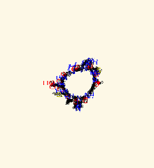 CCCN1CC(=O)N[C@@H](Cc2cscn2)C(=O)N[C@@H](Cc2c[nH]cn2)C(=O)NCC(=O)NCC(=O)N[C@@H](CCC(=O)O)C(=O)N[C@@H](CCSC)C(=O)N[C@@H](CC2CC2)C(=O)N[C@@H](Cc2cccnc2)C(=O)NCCCCC1=O